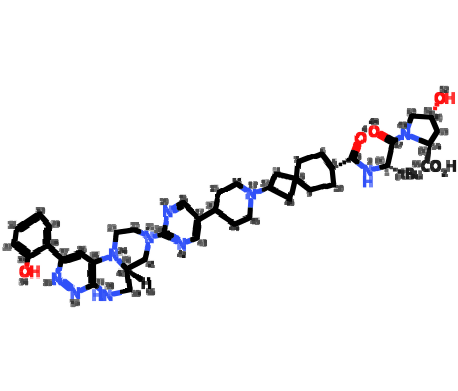 CC(C)(C)[C@H](NC(=O)[C@H]1CCC2(CC1)C[C@H](N1CCC(c3cnc(N4CCN5c6cc(-c7ccccc7O)nnc6NC[C@H]5C4)nc3)CC1)C2)C(=O)N1C[C@H](O)C[C@H]1C(=O)O